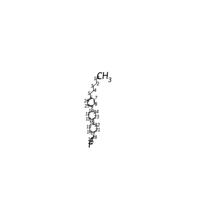 CCCCCCc1ccc([C@H]2CC[C@H]([C@H]3CC[C@H](C=CF)CC3)CC2)cc1